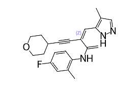 C=C(Nc1ccc(F)cc1C)/C(C#CC1CCOCC1)=C\c1[nH]ncc1C